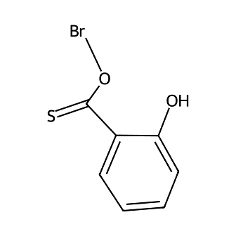 Oc1ccccc1C(=S)OBr